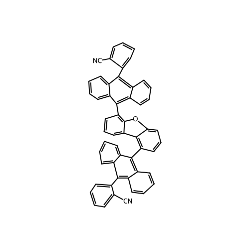 N#Cc1ccccc1-c1c2ccccc2c(-c2cccc3c2oc2cccc(-c4c5ccccc5c(-c5ccccc5C#N)c5ccccc45)c23)c2ccccc12